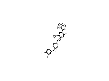 C[C@H](c1ccc(Cl)c(F)c1)N1CCC(COc2cc(F)c(C(=O)NS(C)(=O)=O)cc2C2CC2)CC1